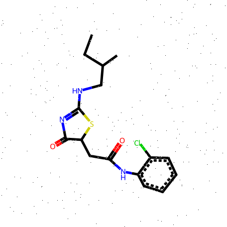 CCC(C)CNC1=NC(=O)C(CC(=O)Nc2ccccc2Cl)S1